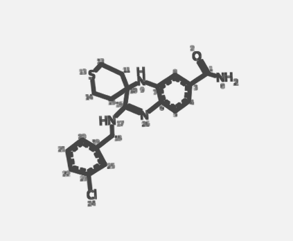 NC(=O)c1ccc2c(c1)NC1(CCSCC1)C(NCc1cccc(Cl)c1)=N2